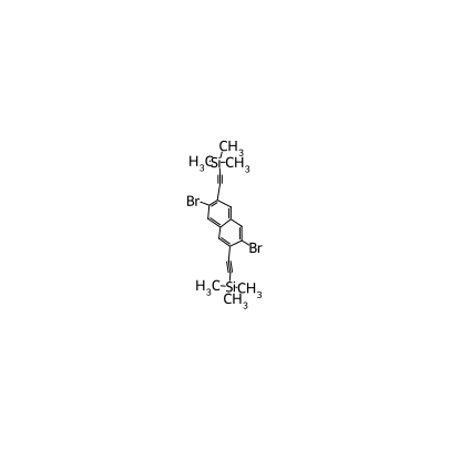 C[Si](C)(C)C#Cc1cc2cc(Br)c(C#C[Si](C)(C)C)cc2cc1Br